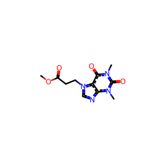 COC(=O)CCn1cnc2c1c(=O)n(C)c(=O)n2C